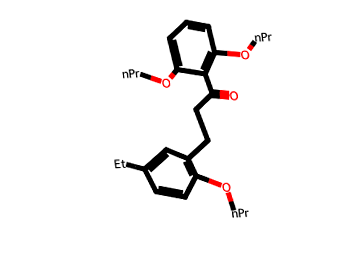 CCCOc1ccc(CC)cc1CCC(=O)c1c(OCCC)cccc1OCCC